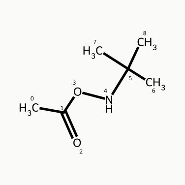 CC(=O)ONC(C)(C)C